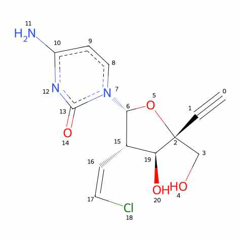 C#C[C@]1(CO)O[C@@H](n2ccc(N)nc2=O)[C@@H](/C=C\Cl)[C@@H]1O